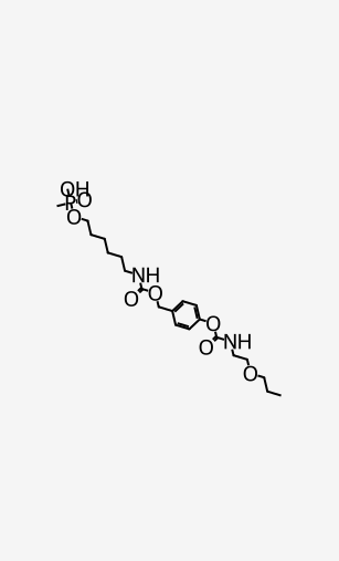 CCCOCCNC(=O)Oc1ccc(COC(=O)NCCCCCCOP(C)(=O)O)cc1